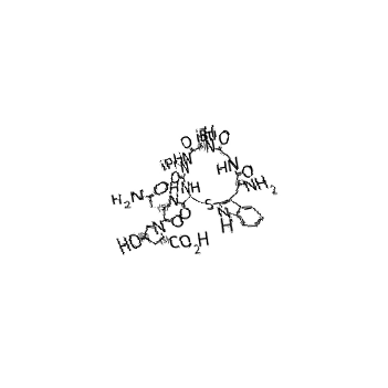 CC[C@H](C)[C@@H]1NC(=O)CNC(=O)[C@@H](N)Cc2c([nH]c3ccccc23)SCC(C(=O)N[C@@H](CC(N)=O)C(=O)N2C[C@H](O)C[C@H]2C(=O)O)NC(=O)N(C(C)C)NC1=O